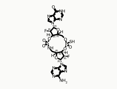 Nc1ncnc2c1ncn2[C@@H]1O[C@@H]2CNS(=O)(=O)O[C@H]3[C@@H](F)[C@H](n4cnc5c(=O)[nH]cnc54)O[C@@H]3COP(=O)(S)O[C@H]2[C@H]1F